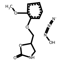 COc1ccccc1OCC1CNC(=O)O1.[N-]=[N+]=NO